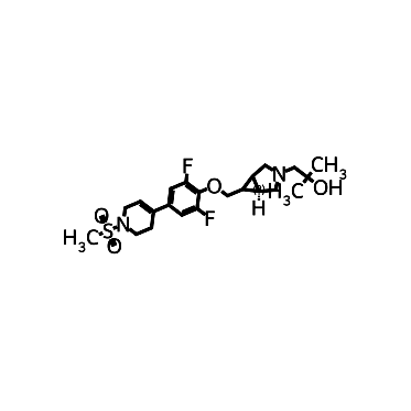 CC(C)(O)CN1CC2C(COc3c(F)cc(C4=CCN(S(C)(=O)=O)CC4)cc3F)[C@@H]2C1